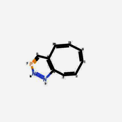 C1=CC=Cc2nnpcc2C=C1